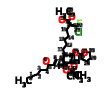 CCCCCC(=O)C=C[C@@H]1[C@@H](CCCCCC(C(=O)OC)=C(F)Cl)[C@@H](OC2CCCCO2)[C@H]2OC(C)(C)O[C@@H]12